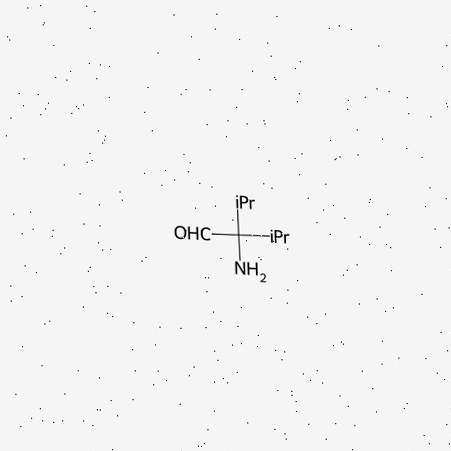 CC(C)C(N)(C=O)C(C)C